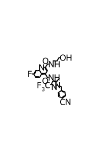 Cc1c(NC(=O)c2cc(C(=O)NCCCO)nc3cc(F)ccc23)c(C(F)(F)F)nn1Cc1ccc(C#N)cc1